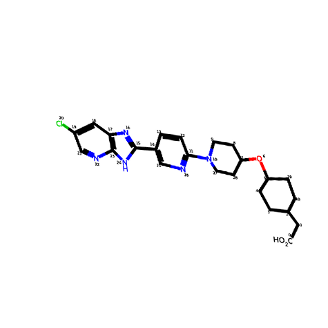 O=C(O)CC1CCC(OC2CCN(c3ccc(-c4nc5cc(Cl)cnc5[nH]4)cn3)CC2)CC1